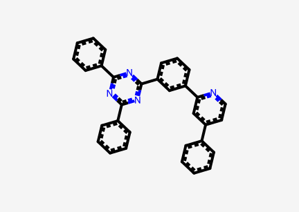 c1ccc(-c2ccnc(-c3cccc(-c4nc(-c5ccccc5)nc(-c5ccccc5)n4)c3)c2)cc1